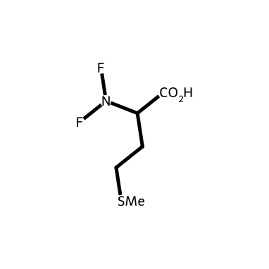 CSCCC(C(=O)O)N(F)F